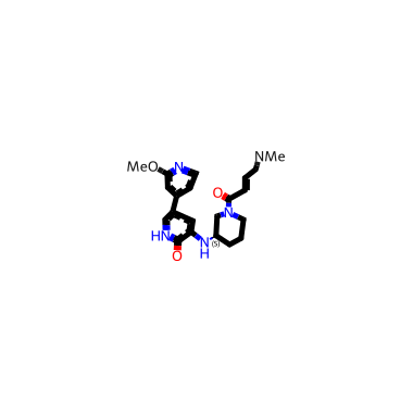 CNCC=CC(=O)N1CCC[C@H](Nc2cc(-c3ccnc(OC)c3)c[nH]c2=O)C1